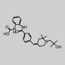 CC(C)(O)CN1CC/C(=C/c2ccc(C(=O)Nc3ccccc3NC(=O)O)cc2)CC1(C)C